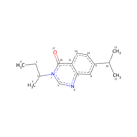 CCC(C)n1cnc2cc(C(C)C)ccc2c1=O